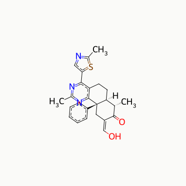 Cc1nc(-c2cnc(C)s2)c2c(n1)[C@@]1(c3ccccc3)C/C(=C/O)C(=O)[C@@H](C)[C@@H]1CC2